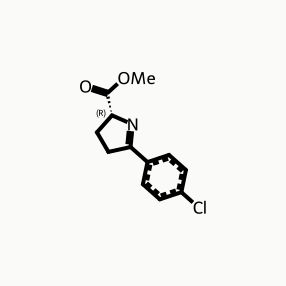 COC(=O)[C@H]1CCC(c2ccc(Cl)cc2)=N1